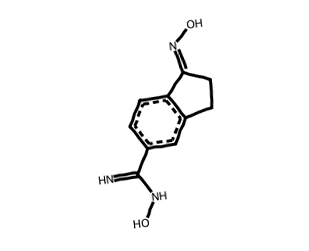 N=C(NO)c1ccc2c(c1)CC/C2=N\O